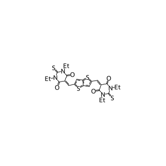 CCN1C(=O)C(=Cc2cc3sc(C=C4C(=O)N(CC)C(=S)N(CC)C4=O)cc3s2)C(=O)N(CC)C1=S